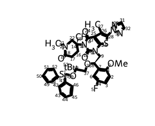 COc1ccc(F)cc1[C@H](Cn1c(=O)n([C@@]2(C)CCC(=O)N(C)C2)c(=O)c2c(C)c(-n3nccn3)sc21)OCCO[Si](c1ccccc1)(c1ccccc1)C(C)(C)C